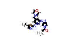 C=CC(=O)N1CC[C@H](Nc2cc(CN3CCOCC3)cc(Nc3ncc(C)s3)n2)C1